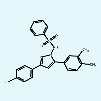 Cc1ccc(-c2cc(-c3ccc(Cl)cc3)nn2NS(=O)(=O)c2ccccc2)cc1C